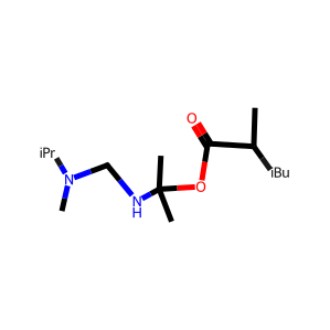 CCC(C)C(C)C(=O)OC(C)(C)NCN(C)C(C)C